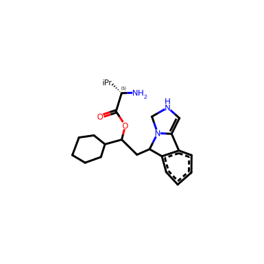 CC(C)[C@H](N)C(=O)OC(CC1c2ccccc2C2=CNCN21)C1CCCCC1